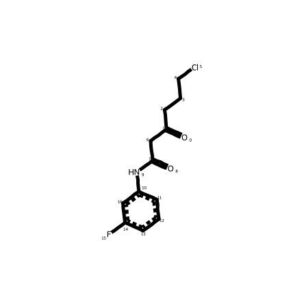 O=C(CCCCl)CC(=O)Nc1cccc(F)c1